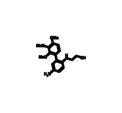 COc1ccc(-c2cc(N)ccc2NCCO)c(OC)c1OC